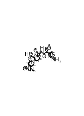 CON=C(C(=O)NC1C(=O)N2C(C(=O)O)=C([n+]3ccc4c(c3)N(C)CN4[O-])CCC12)c1csc(N)n1